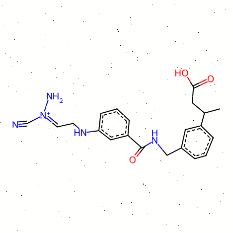 CC(CC(=O)O)c1cccc(CNC(=O)c2cccc(NCC=[N+](N)C#N)c2)c1